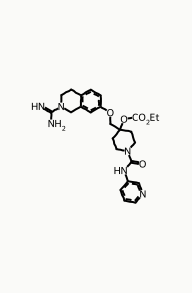 CCOC(=O)OC1(COc2ccc3c(c2)CN(C(=N)N)CC3)CCN(C(=O)Nc2cccnc2)CC1